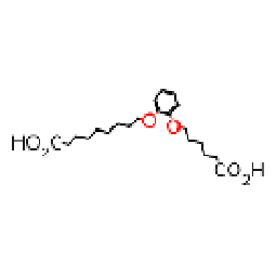 O=C(O)CCCCCCCCOc1ccccc1OCCCCCC(=O)O